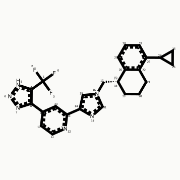 FC(F)(F)c1[nH]nnc1-c1ccnc(-c2cn(C[C@H]3CCCc4c(C5CC5)cccc43)cn2)c1